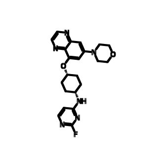 Fc1nccc(N[C@H]2CC[C@@H](Oc3cc(N4CCOCC4)cc4nccnc34)CC2)n1